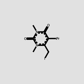 CC(C)c1c(CI)n(C)c(=O)n(C)c1=O